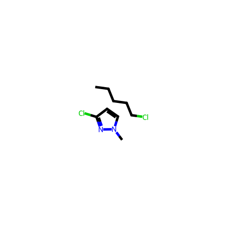 CCCCCCl.Cn1ccc(Cl)n1